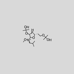 CO/[N+](=C/C(C)C)C1O[C@@H](CCOC(C)(C)O)P[C@@H]1OC(C)(C)O